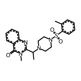 Cc1ccccc1S(=O)(=O)N1CCN(C(C)c2nc3ccccc3c(=O)n2C)CC1